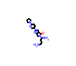 N/C=C\C=C(/N)N1Cc2nn(-c3ccc(N4CCCC4)nc3)cc2C1=O